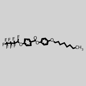 CCCCCCCCOc1ccc(OC(=O)c2ccc(OC(F)C(F)(F)C(F)(F)C(F)(F)F)cc2)cc1